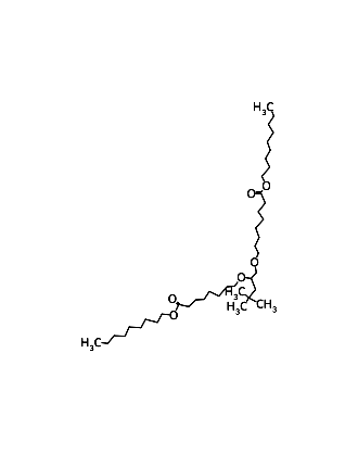 CCCCCCCCCOC(=O)CCCCCCCOCC(CC(C)(C)C)OCCCCCCCC(=O)OCCCCCCCCC